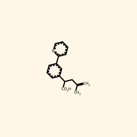 C=C(C)CC(C(=O)O)c1cccc(-c2ccccn2)c1